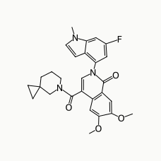 COc1cc2c(C(=O)N3CCCC4(CC4)C3)cn(-c3cc(F)cc4c3ccn4C)c(=O)c2cc1OC